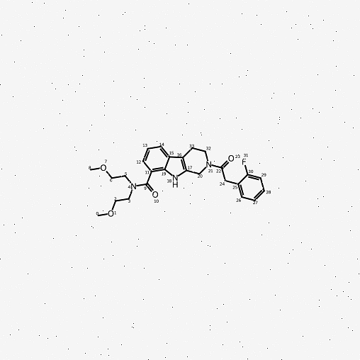 COCCN(CCOC)C(=O)c1cccc2c3c([nH]c12)CN(C(=O)Cc1ccccc1F)CC3